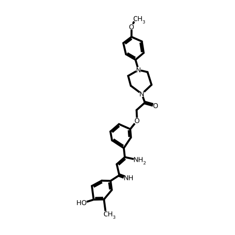 COc1ccc(N2CCN(C(=O)COc3cccc(/C(N)=C/C(=N)c4ccc(O)c(C)c4)c3)CC2)cc1